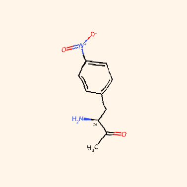 CC(=O)[C@@H](N)Cc1ccc([N+](=O)[O-])cc1